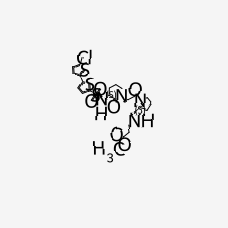 COC(=O)CCNC[C@@H]1CCCN1C(=O)CN1CCC[C@H](NS(=O)(=O)c2ccc(-c3ccc(Cl)s3)s2)C1=O